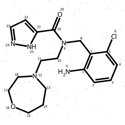 Nc1cccc(Cl)c1CN(CCN1CCCOCC1)C(=O)c1ccn[nH]1